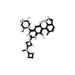 Cc1ccc2cn[nH]c2c1-c1c(Cl)cc2c(N3C[C@@H](C)NC[C@@H]3C)nc(N3CC(N(C)C4CCC4)C3)nc2c1F